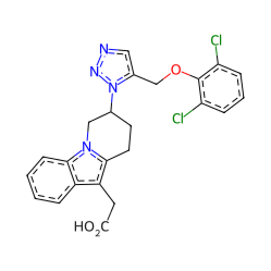 O=C(O)Cc1c2n(c3ccccc13)CC(n1nncc1COc1c(Cl)cccc1Cl)CC2